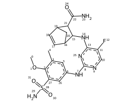 COc1c(C)cc(Nc2ncc(F)c(NC3C4C=CC(C4)C3C(N)=O)n2)cc1S(N)(=O)=O